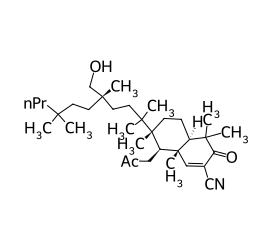 CCCC(C)(C)CC[C@](C)(CO)CCC(C)(C)[C@]1(C)CC[C@H]2C(C)(C)C(=O)C(C#N)=C[C@]2(C)[C@H]1CC(C)=O